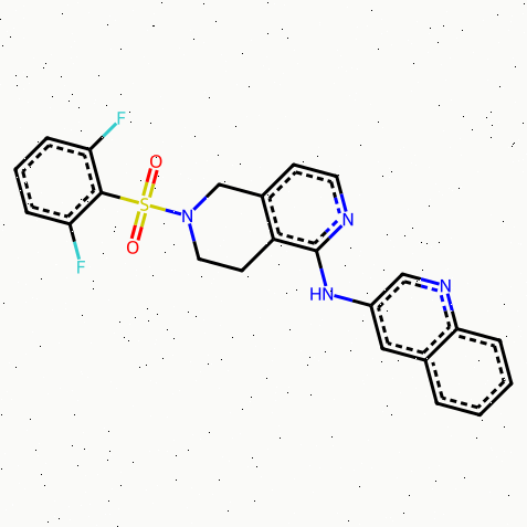 O=S(=O)(c1c(F)cccc1F)N1CCc2c(ccnc2Nc2cnc3ccccc3c2)C1